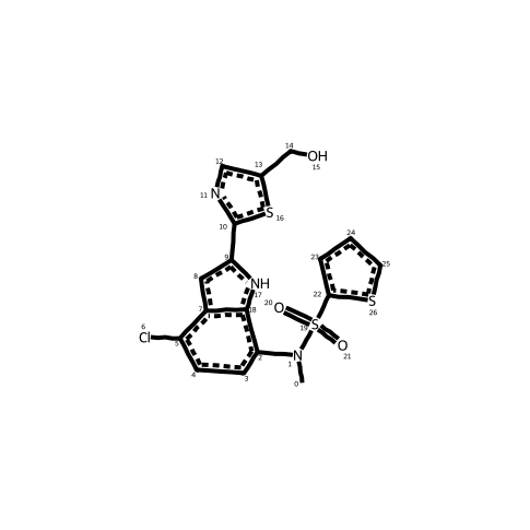 CN(c1ccc(Cl)c2cc(-c3ncc(CO)s3)[nH]c12)S(=O)(=O)c1cccs1